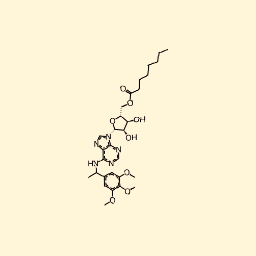 CCCCCCCC(=O)OC[C@H]1O[C@@H](n2cnc3c(NC(C)c4cc(OC)c(OC)c(OC)c4)ncnc32)[C@H](O)[C@@H]1O